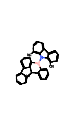 CC12c3ccccc3B(n3c4c(C#N)cccc4c4cccc(C#N)c43)c3cccc(c31)-c1ccccc12